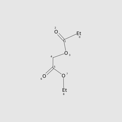 [CH2]CC(=O)OCC(=O)OCC